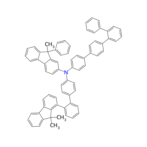 CC1(C)c2ccccc2-c2cccc(-c3ccccc3-c3ccc(N(c4ccc(-c5ccc(-c6ccccc6-c6ccccc6)cc5)cc4)c4ccc5c(c4)C(C)(c4ccccc4)c4ccccc4-5)cc3)c21